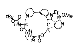 CCn1c(-c2cccnc2[C@H](C)OC)c2c3cc(ccc31)C1CCCN(C1)C[C@H](NC(=O)OC(C)(C)C)C(=O)N1CCC[C@H](N1)C(=O)OCC(C)(C)C2